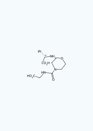 CC(C)[C@H](N)C(=O)O.O=C(O)CNC(=O)N1CCOCC1